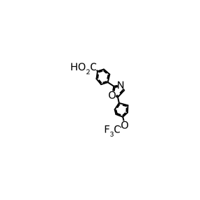 O=C(O)c1ccc(-c2ncc(-c3ccc(OC(F)(F)F)cc3)o2)cc1